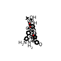 COc1ccc(CN(Cc2ccc(OC)cc2)S(=O)(=O)c2c(S(=O)(=O)NC[C@H](O)CN(C(=O)O)C(C)(C)C)ccc(-c3ccc(N)c(N)c3)c2-c2nnn(Cc3ccc(OC)cc3)n2)cc1